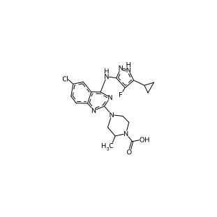 CC1CN(c2nc(Nc3n[nH]c(C4CC4)c3F)c3cc(Cl)ccc3n2)CCN1C(=O)O